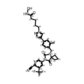 N#Cc1ncc(N2C(=O)N(Cc3ccc(-c4cn(CCCCC(=O)NO)nn4)cc3F)C3(CCC3)C2=O)cc1C(F)(F)F